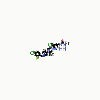 CCNC(=O)NCc1cnc(N2CCN(C3CCN(Cc4ccc(Cl)cc4F)CC3)[C@@H](CC)C2)c(Cl)c1